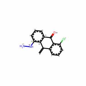 C=C1c2cccc(Cl)c2C(=O)c2cccc(NN)c21